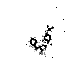 Nc1nc(Nc2ccc(OC(F)(F)F)cc2Cl)sc1C(=O)c1ccccc1